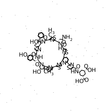 Cc1sc2nc1C(=O)N[C@@H]([C@H](O)c1ccccc1)c1nc(cs1)C(=O)N[C@@H](Cc1ccc(O)cc1)C(=O)N1C[C@H](O)[C@H](C)[C@H]1c1nc(cs1)-c1nc(cs1)-c1nc(-c3nc(C(=O)N[C@H]4C[C@@H](C(=O)O)C[C@@H](C(=O)O)C4)cs3)ccc1-c1nc(cs1)C(=O)N[C@H]2CC(N)=O